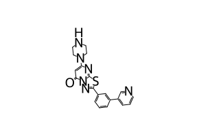 O=c1cc(N2CCNCC2)nc2sc(-c3cccc(-c4cccnc4)c3)nn12